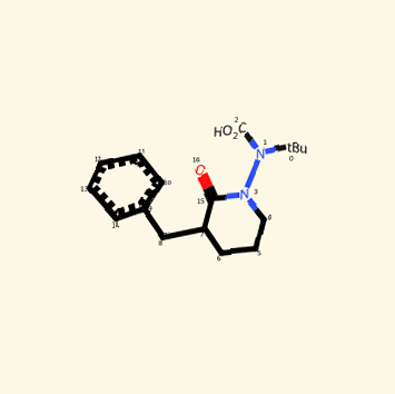 CC(C)(C)N(C(=O)O)N1CCCC(Cc2ccccc2)C1=O